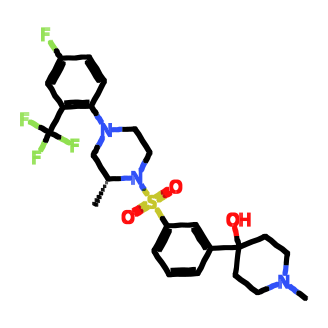 C[C@@H]1CN(c2ccc(F)cc2C(F)(F)F)CCN1S(=O)(=O)c1cccc(C2(O)CCN(C)CC2)c1